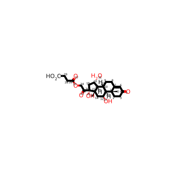 C[C@]12CCC(=O)C=C1CC[C@@H]1[C@@H]2[C@@H](O)C[C@@]2(C)[C@H]1CC[C@]2(O)C(=O)COC(=O)CCC(=O)O.O